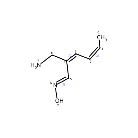 C\C=C/C=C(\C=N\O)CN